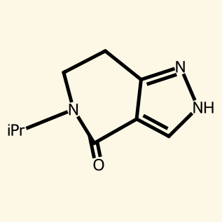 CC(C)N1CCc2n[nH]cc2C1=O